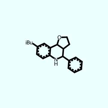 CCC(C)c1ccc2c(c1)C1OCCC1C(c1ccccc1)N2